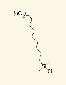 C[Si](C)(Cl)CCCCCCCCC(=O)O